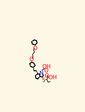 CCC(Sc1cn(CC(=O)O)c2c(C=Cc3ccc(OCCCCOc4ccccc4)cc3)cccc12)C(=O)O